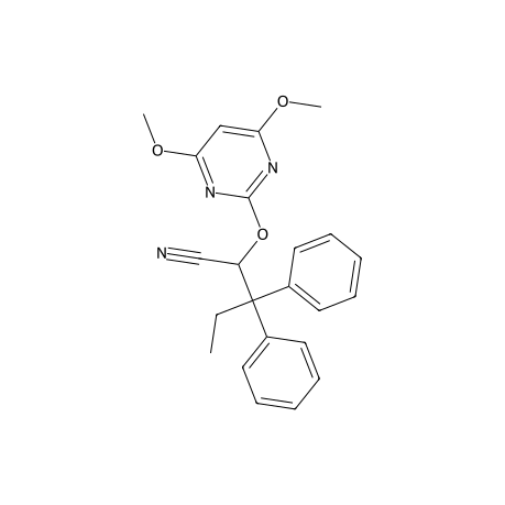 CCC(c1ccccc1)(c1ccccc1)C(C#N)Oc1nc(OC)cc(OC)n1